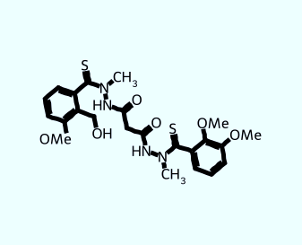 COc1cccc(C(=S)N(C)NC(=O)CC(=O)NN(C)C(=S)c2cccc(OC)c2OC)c1CO